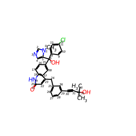 Cn1cncc1C(O)(c1ccc(Cl)cc1)c1ccc2[nH]c(=O)cc(Cc3cccc(C#CC(C)(C)O)c3)c2c1